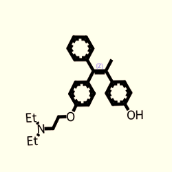 CCN(CC)CCOc1ccc(/C(=C(/C)c2ccc(O)cc2)c2ccccc2)cc1